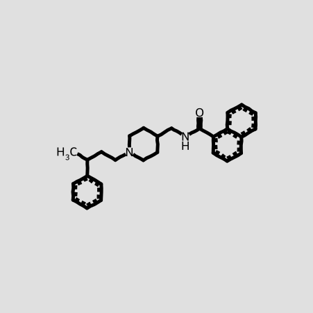 CC(CCN1CCC(CNC(=O)c2cccc3ccccc23)CC1)c1ccccc1